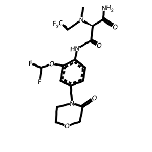 CN(CC(F)(F)F)[C@@H](C(N)=O)C(=O)Nc1ccc(N2CCOCC2=O)cc1OC(F)F